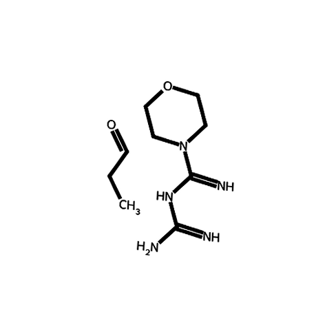 CCC=O.N=C(N)NC(=N)N1CCOCC1